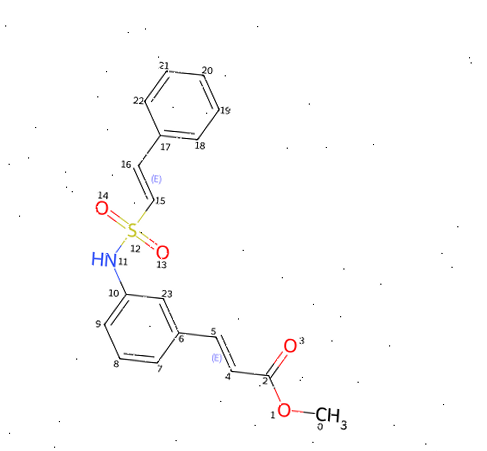 COC(=O)/C=C/c1cccc(NS(=O)(=O)/C=C/c2ccccc2)c1